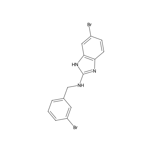 Brc1cccc(CNc2nc3ccc(Br)cc3[nH]2)c1